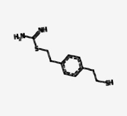 N=C(N)SCCc1ccc(CCS)cc1